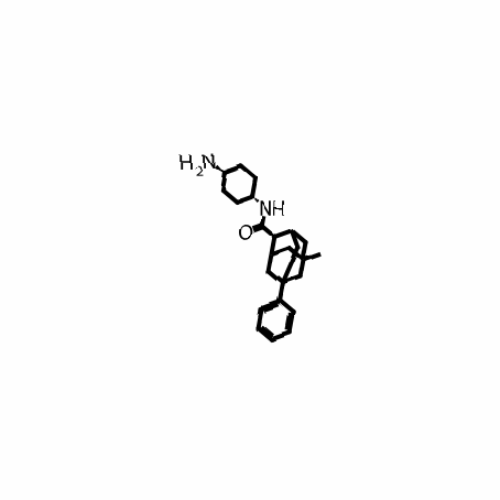 CC12CC3CC(c4ccccc4)(CC(C1)C3C(=O)N[C@H]1CC[C@H](N)CC1)C2